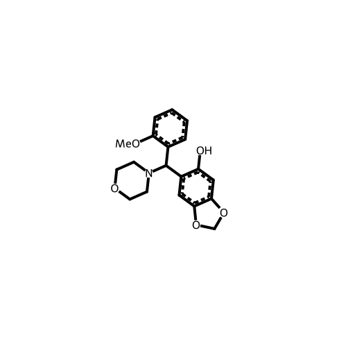 COc1ccccc1C(c1cc2c(cc1O)OCO2)N1CCOCC1